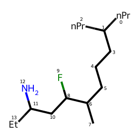 CCCC(CCC)CCCC(C)C(F)CC(N)CC